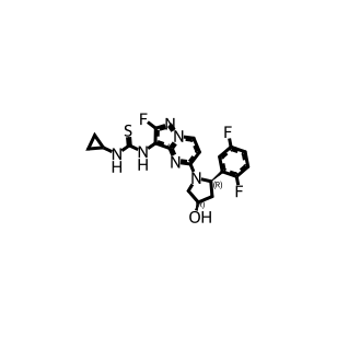 O[C@@H]1C[C@H](c2cc(F)ccc2F)N(c2ccn3nc(F)c(NC(=S)NC4CC4)c3n2)C1